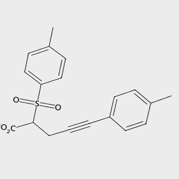 Cc1ccc(C#CCC(C(=O)O)S(=O)(=O)c2ccc(C)cc2)cc1